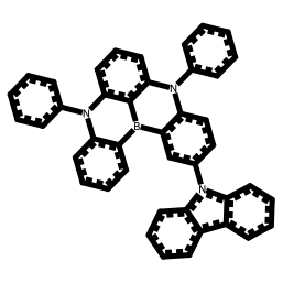 c1ccc(N2c3ccccc3B3c4cc(-n5c6ccccc6c6ccccc65)ccc4N(c4ccccc4)c4cccc2c43)cc1